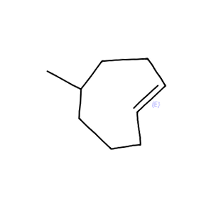 CC1CC/C=C/CCC1